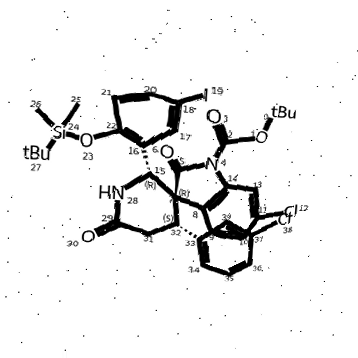 CC(C)(C)OC(=O)N1C(=O)[C@]2(c3ccc(Cl)cc31)[C@@H](c1cc(I)ccc1O[Si](C)(C)C(C)(C)C)NC(=O)C[C@H]2c1cccc(Cl)c1